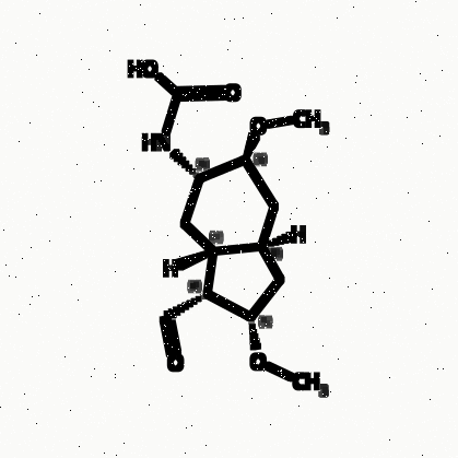 CO[C@H]1C[C@@H]2C[C@H](OC)[C@@H](NC(=O)O)C[C@H]2[C@H]1C=O